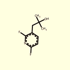 CC(C)(O)Cc1ccc(F)nc1F